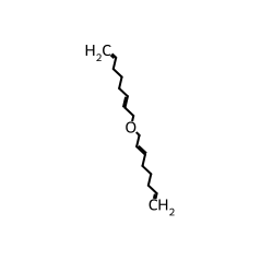 C=CCCCC=CCOCC=CCCCC=C